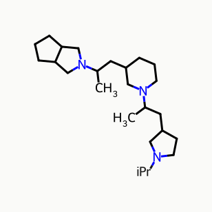 CC(C)N1CCC(CC(C)N2CCCC(CC(C)N3CC4CCCC4C3)C2)C1